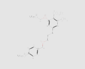 CCOC(=O)c1c(C)cc(CCCOCc2ccc(OC)cc2)cc1OCOC